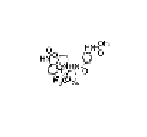 COC1(CC(NC(=O)c2ccc(NC(=O)O)cc2)C(=O)N2CCCC3(C2)OC(=O)Nc2ccc(Cl)c(F)c23)CC1